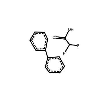 O=C(O)C(F)F.c1ccc(-c2ccccc2)cc1